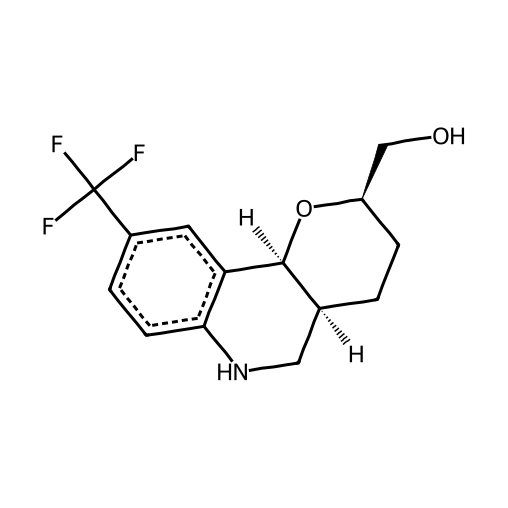 OC[C@H]1CC[C@H]2CNc3ccc(C(F)(F)F)cc3[C@H]2O1